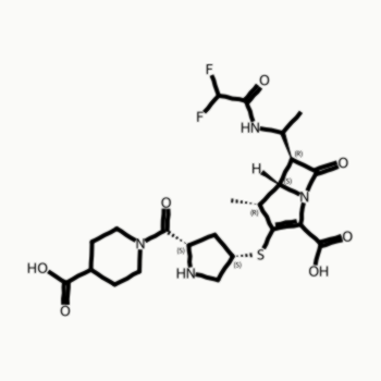 CC(NC(=O)C(F)F)[C@H]1C(=O)N2C(C(=O)O)=C(S[C@@H]3CN[C@H](C(=O)N4CCC(C(=O)O)CC4)C3)[C@H](C)[C@H]12